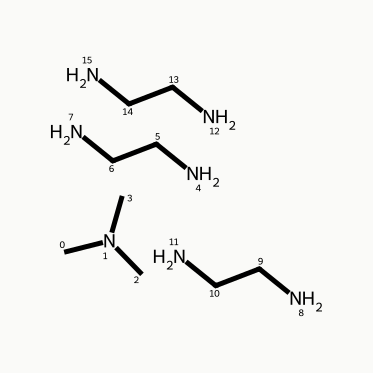 CN(C)C.NCCN.NCCN.NCCN